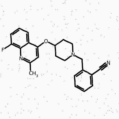 Cc1cc(OC2CCN(Cc3ccccc3C#N)CC2)c2cccc(F)c2n1